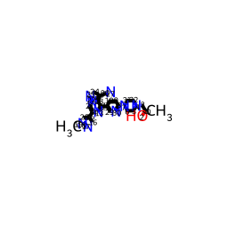 C[C@H](O)CN1CCN(c2ccc(-c3nc(-c4cnn(C)c4)cn4ncc(C#N)c34)cn2)CC1